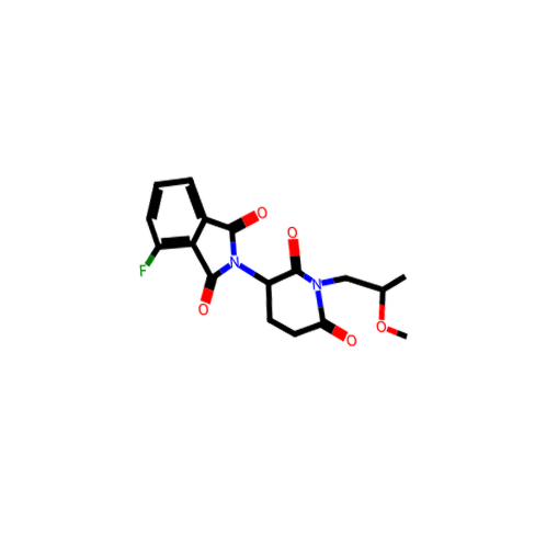 COC(C)CN1C(=O)CCC(N2C(=O)c3cccc(F)c3C2=O)C1=O